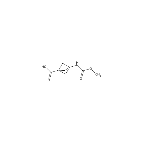 COC(=O)NC12CC(C(=O)O)(C1)C2